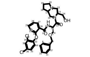 O=C(N[C@H](COCc1ccccc1)C(=O)N1CC2CCCN2CC1CO)c1cccnc1Oc1ccc(Cl)cc1Cl